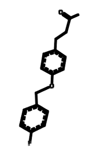 CC(=O)CCc1ccc(OCc2ccc(F)cc2)cc1